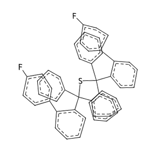 Fc1ccc(-c2ccccc2C(SC(c2ccccc2)(c2ccccc2)c2ccccc2-c2ccc(F)cc2)(c2ccccc2)c2ccccc2)cc1